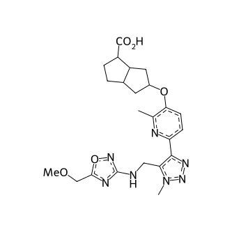 COCc1nc(NCc2c(-c3ccc(OC4CC5CCC(C(=O)O)C5C4)c(C)n3)nnn2C)no1